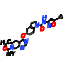 CCCC(=O)N1Cc2ncnc(Oc3ccc4c(ccn4C(=O)Nc4cc(C5CC5)on4)c3)c2C[C@@H]1C